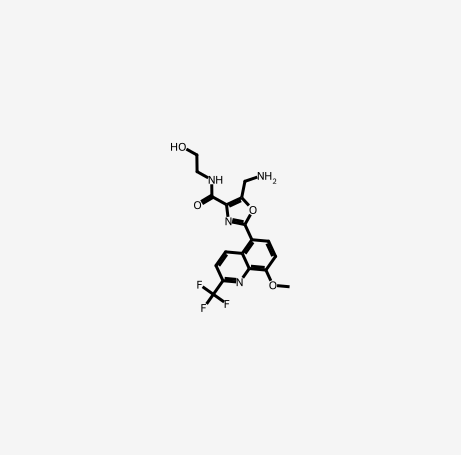 COc1ccc(-c2nc(C(=O)NCCO)c(CN)o2)c2ccc(C(F)(F)F)nc12